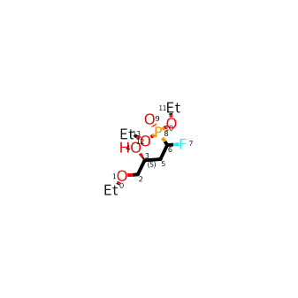 CCOC[C@@H](O)CC(F)P(=O)(OCC)OCC